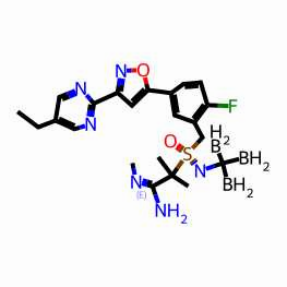 BC(B)(B)N=S(=O)(Cc1cc(-c2cc(-c3ncc(CC)cn3)no2)ccc1F)C(C)(C)/C(N)=N\C